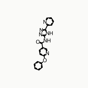 O=C(Nc1nnc(-c2ccccn2)[nH]1)c1ccc(Oc2ccccc2)nc1